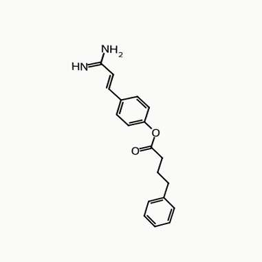 N=C(N)C=Cc1ccc(OC(=O)CCCc2ccccc2)cc1